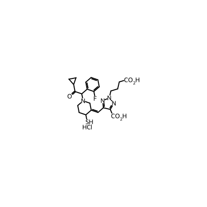 Cl.O=C(O)CCCn1nc(/C=C2\CN(C(C(=O)C3CC3)c3ccccc3F)CCC2S)c(C(=O)O)n1